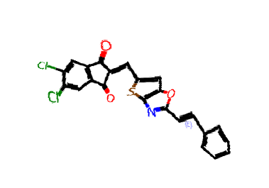 O=C1C(=Cc2cc3oc(/C=C/c4ccccc4)nc3s2)C(=O)c2cc(Cl)c(Cl)cc21